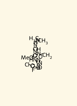 C=CC(=O)Nc1cc(Nc2cc(N3OCC[C@@H]3c3ccc(Cl)cc3F)ncn2)c(OC)cc1N1CCC(N2CC[C@H](N(C)C)C2)CC1